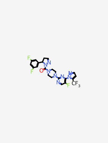 O=C(N1CCN(c2ncc(F)c(-n3nccc3C(F)(F)F)n2)CC1)N1N=CCC1c1cc(F)cc(F)c1